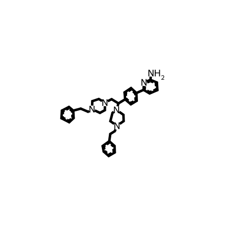 Nc1cccc(-c2ccc(C(CN3CCN(CCc4ccccc4)CC3)N3CCN(CCc4ccccc4)CC3)cc2)n1